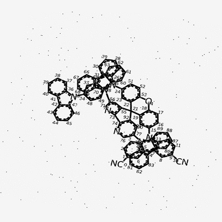 N#Cc1ccc2c(c1)c1cc(C#N)ccc1n2-c1ccc2c(c1)C1(c3cc(-n4c5ccccc5c5cc(-n6c7ccccc7c7ccccc76)ccc54)ccc3O2)c2cc(-n3c4ccccc4c4ccccc43)cnc2-c2ncc(-n3c4ccccc4c4ccccc43)cc21